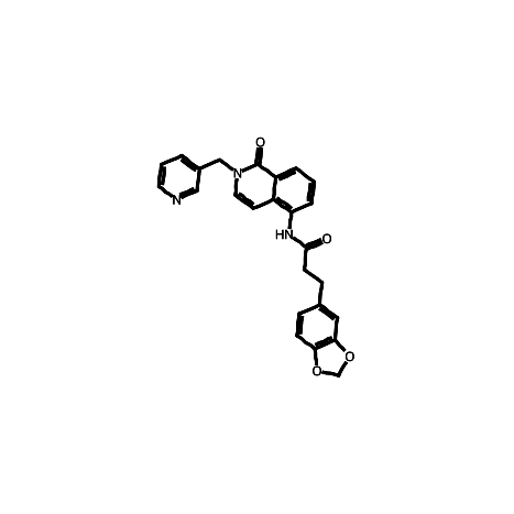 O=C(CCc1ccc2c(c1)OCO2)Nc1cccc2c(=O)n(Cc3cccnc3)ccc12